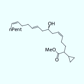 CCCCC/C=C\CC/C=C/C[C@@H](O)C/C=C\CCC(C(=O)OC)C1CC1